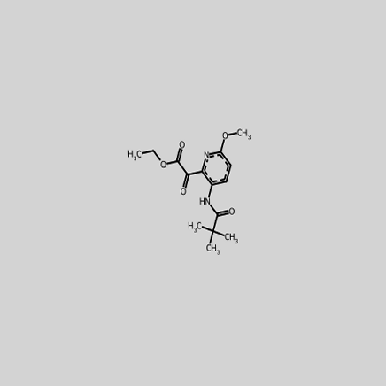 CCOC(=O)C(=O)c1nc(OC)ccc1NC(=O)C(C)(C)C